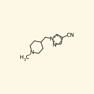 CN1CCC(Cn2cc(C#N)cn2)CC1